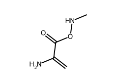 C=C(N)C(=O)ONC